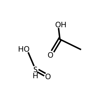 CC(=O)O.O=[SH]O